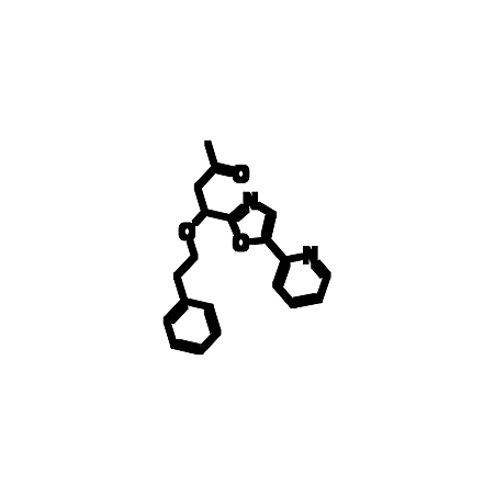 CC(=O)CC(OCCc1ccccc1)c1ncc(-c2ccccn2)o1